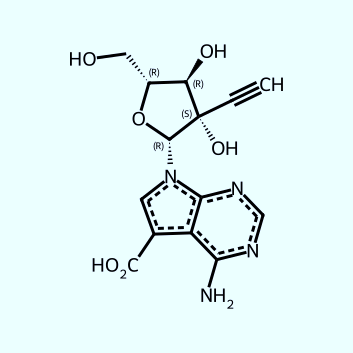 C#C[C@]1(O)[C@H](O)[C@@H](CO)O[C@H]1n1cc(C(=O)O)c2c(N)ncnc21